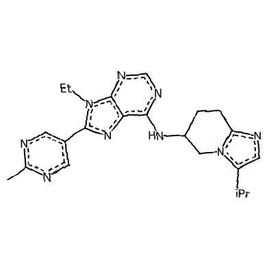 CCn1c(-c2cnc(C)nc2)nc2c(NC3CCc4ncc(C(C)C)n4C3)ncnc21